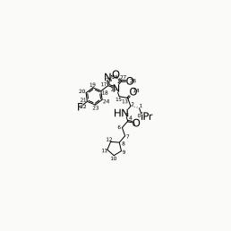 CC(C)C[C@H](NC(=O)CCC1CCCC1)C(=O)Cn1c(-c2ccc(F)cc2)noc1=O